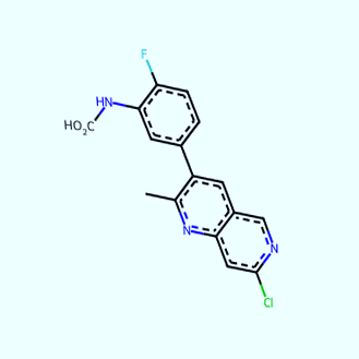 Cc1nc2cc(Cl)ncc2cc1-c1ccc(F)c(NC(=O)O)c1